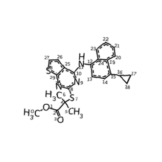 COC(=O)C(C)(C)Sc1nc(Nc2ccc(C3CC3)c3ccccc23)c2ccsc2n1